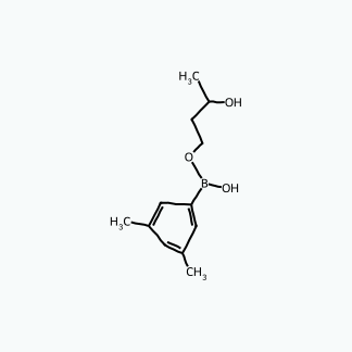 Cc1cc(C)cc(B(O)OCCC(C)O)c1